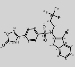 O=c1[nH]c(-c2ccc(S(=O)(=O)N(CCC(F)(F)F)c3sc4ccccc4c3Br)cc2)no1